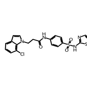 O=C(CCn1ccc2cccc(Cl)c21)Nc1ccc(S(=O)(=O)Nc2nccs2)cc1